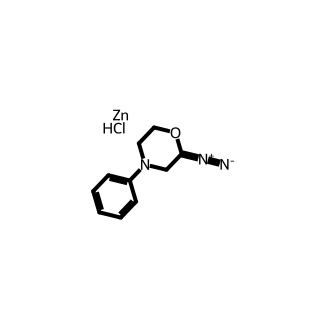 Cl.[N-]=[N+]=C1CN(c2ccccc2)CCO1.[Zn]